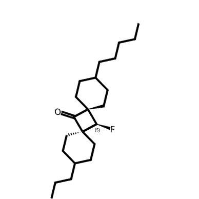 CCCCCC1CC[C@]2(CC1)C(=O)[C@@]1(CCC(CCC)CC1)[C@@H]2F